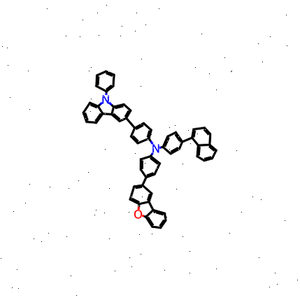 c1ccc(-n2c3ccccc3c3cc(-c4ccc(N(c5ccc(-c6ccc7oc8ccccc8c7c6)cc5)c5ccc(-c6cccc7ccccc67)cc5)cc4)ccc32)cc1